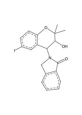 CC1(C)Oc2ccc(I)cc2C(N2Cc3ccccc3C2=O)C1O